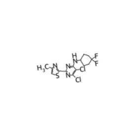 Cc1csc(-c2nc(Cl)c(Cl)c(NC3CCC(F)(F)CC3)n2)n1